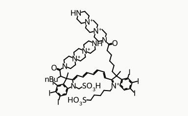 CCCCC(C(=O)N1CC[N+]2(CC1)CC[N+]1(CCNCC1)CC2)C1(C)/C(=C/C=C/C=C/C=C/C2=[N+](CCCCCS(=O)(=O)O)c3cc(I)c(I)c(I)c3C2(C)CCCCCC(=O)N2CC[N+]3(CC2)CC[N+]2(CCNCC2)CC3)N(CS(=O)(=O)O)c2cc(I)c(I)c(I)c21